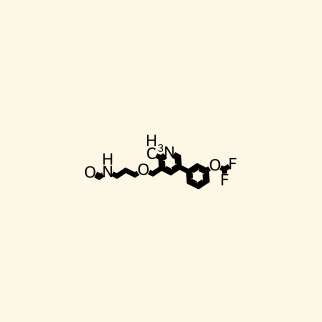 Cc1ncc(-c2cccc(OC(F)F)c2)cc1COCCCNC=O